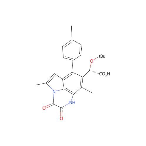 Cc1ccc(-c2c([C@H](OC(C)(C)C)C(=O)O)c(C)c3[nH]c(=O)c(=O)n4c(C)cc2c34)cc1